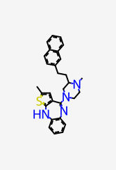 Cc1cc2c(s1)Nc1ccccc1N=C2N1CCN(C)C(CCc2ccc3ccccc3c2)C1